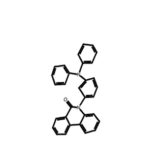 O=c1c2ccccc2c2ccccc2n1-c1cccc(N(c2ccccc2)c2ccccc2)c1